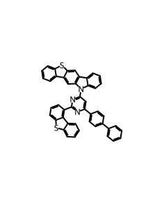 c1ccc(-c2ccc(-c3cc(-n4c5ccccc5c5cc6sc7ccccc7c6cc54)nc(-c4cccc5sc6ccccc6c45)n3)cc2)cc1